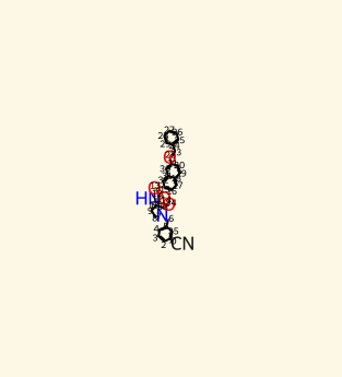 N#Cc1cccc(CN2CC[C@H](NS(=O)(=O)c3ccc4ccc(OCc5ccccc5)cc4c3)C2=O)c1